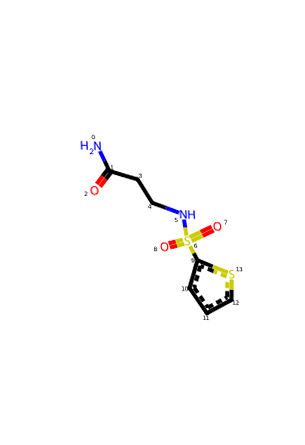 NC(=O)CCNS(=O)(=O)c1cccs1